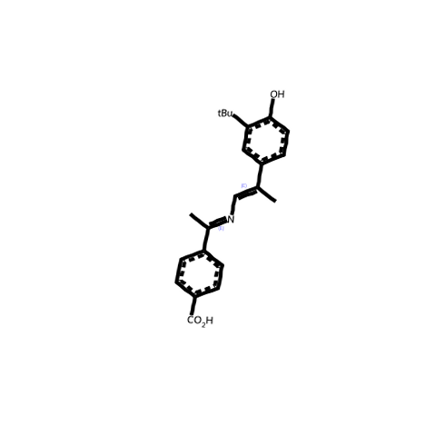 C/C(=C\N=C(/C)c1ccc(C(=O)O)cc1)c1ccc(O)c(C(C)(C)C)c1